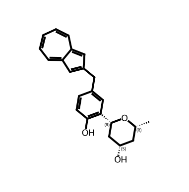 C[C@@H]1C[C@H](O)C[C@H](c2cc(Cc3cc4cccccc-4c3)ccc2O)O1